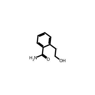 NC(=O)c1ccccc1[CH]CO